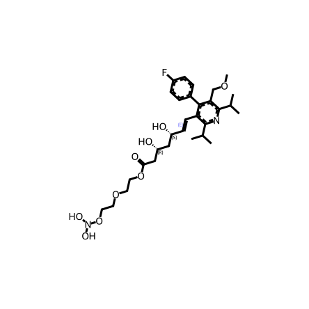 COCc1c(C(C)C)nc(C(C)C)c(/C=C/[C@@H](O)C[C@@H](O)CC(=O)OCCOCCON(O)O)c1-c1ccc(F)cc1